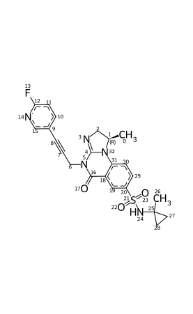 C[C@@H]1CN=C2N(CC#Cc3ccc(F)nc3)C(=O)c3cc(S(=O)(=O)NC4(C)CC4)ccc3N21